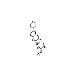 CN(CCCC(Cc1cccc(C2CCOCC2)c1)C(=O)O)C(=O)OC(C)(C)C